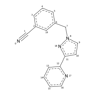 N#Cc1cccc(Cn2ccc(-c3ccccn3)n2)c1